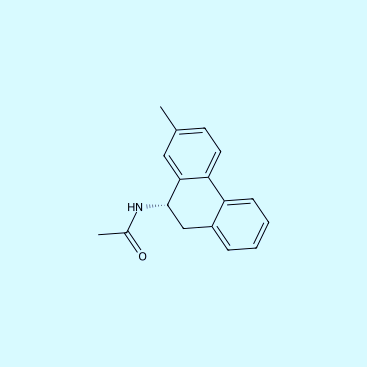 CC(=O)N[C@H]1Cc2ccccc2-c2ccc(C)cc21